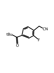 CC(C)(C)C(=O)c1ccc(CC#N)c(F)c1